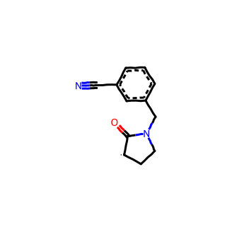 N#Cc1cccc(CN2CC[CH]C2=O)c1